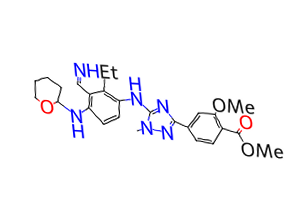 CCc1c(Nc2nc(-c3ccc(C(=O)OC)c(OC)c3)nn2C)ccc(NC2CCCCO2)c1C=N